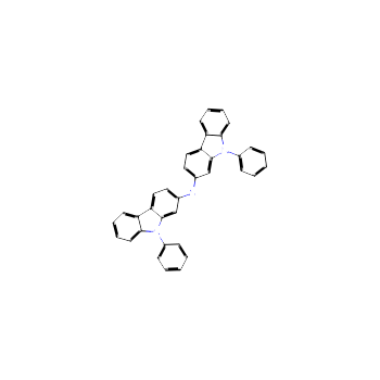 c1ccc(-n2c3ccccc3c3ccc(Nc4ccc5c6ccccc6n(-c6ccccc6)c5c4)cc32)cc1